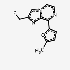 Cc1ccc(-c2nccn3cc(CF)nc23)o1